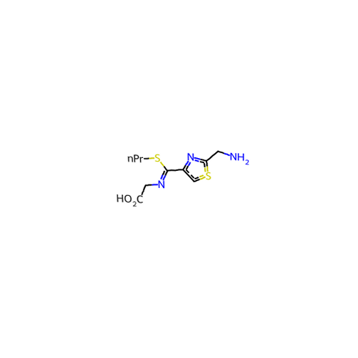 CCCS/C(=N\CC(=O)O)c1csc(CN)n1